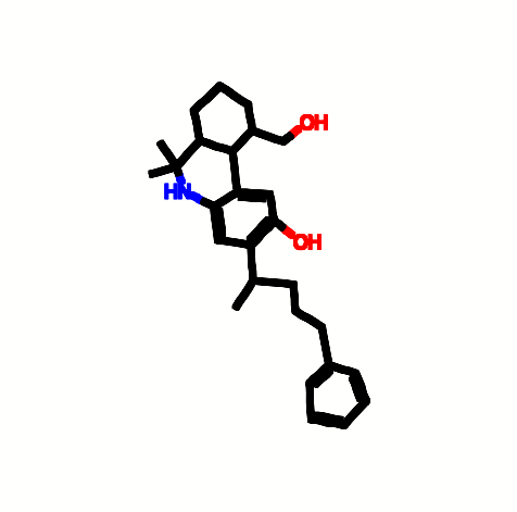 CC(CCCc1ccccc1)c1cc2c(cc1O)C1C(CO)CCCC1C(C)(C)N2